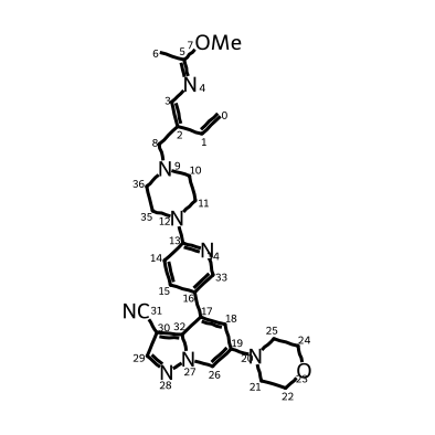 C=C/C(=C\N=C(/C)OC)CN1CCN(c2ccc(-c3cc(N4CCOCC4)cn4ncc(C#N)c34)cn2)CC1